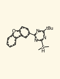 C[SH](C)c1nc(-c2ccc3oc4ccccc4c3c2)nc(C(C)(C)C)n1